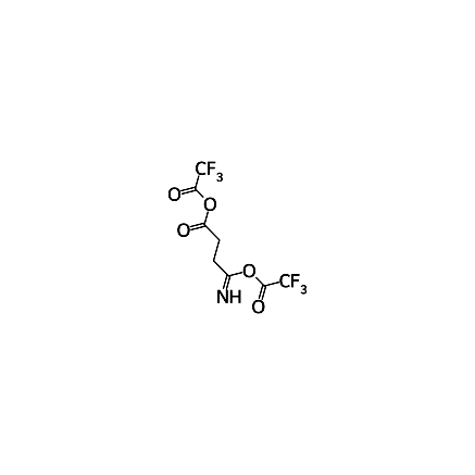 N=C(CCC(=O)OC(=O)C(F)(F)F)OC(=O)C(F)(F)F